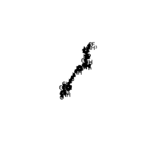 Cn1c(=O)n(C2CCC(=O)NC2=O)c2cccc(CCCOCCCNCc3ccc(-n4cc(NC(=O)c5coc(-c6ccnc(NCC(F)(F)F)c6)n5)c(C(F)F)n4)cc3)c21